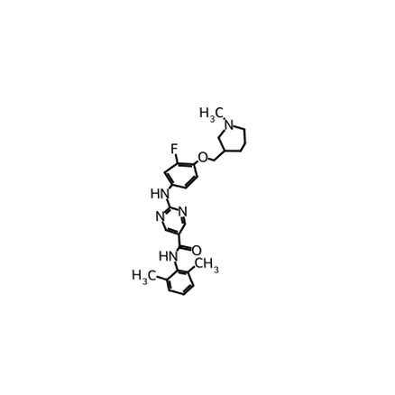 Cc1cccc(C)c1NC(=O)c1cnc(Nc2ccc(OCC3CCCN(C)C3)c(F)c2)nc1